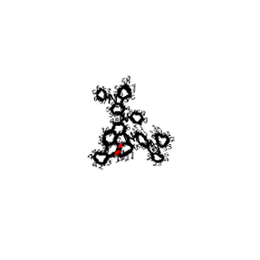 c1ccc(N(c2cc(N(c3ccccc3)c3ccc4c(c3)c3ccccc3n4-c3ccccc3)c3c(ccc4c5ccccc5ccc43)c2)c2ccc3c(c2)c2ccccc2n3-c2ccccc2)cc1